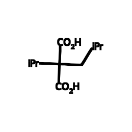 CC(C)CC(C(=O)O)(C(=O)O)C(C)C